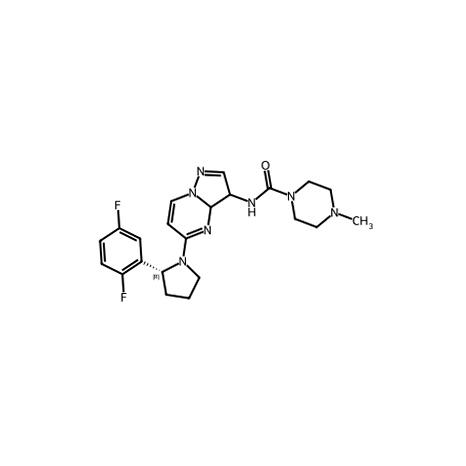 CN1CCN(C(=O)NC2C=NN3C=CC(N4CCC[C@@H]4c4cc(F)ccc4F)=NC23)CC1